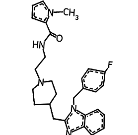 Cn1cccc1C(=O)NCCN1CCC(Cc2nc3ccccc3n2Cc2ccc(F)cc2)CC1